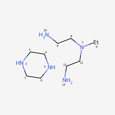 C1CNCCN1.CCN(CCN)CCN